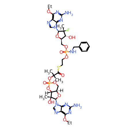 CCOc1nc(N)nc2c1ncn2[C@@H]1O[C@@H]2COP(=O)(OC(C)(C)C(=O)SCCOP(=O)(NCc3ccccc3)OC[C@H]3O[C@@H](n4cnc5c(OCC)nc(N)nc54)[C@](C)(F)[C@@H]3O)O[C@H]2[C@@]1(C)O